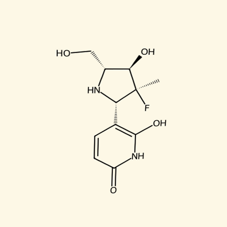 C[C@@]1(F)[C@H](O)[C@@H](CO)N[C@H]1c1ccc(=O)[nH]c1O